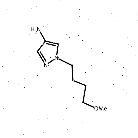 COCCCCn1cc(N)cn1